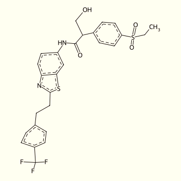 CCS(=O)(=O)c1ccc(C(CO)C(=O)Nc2ccc3nc(CCc4ccc(C(F)(F)F)cc4)sc3c2)cc1